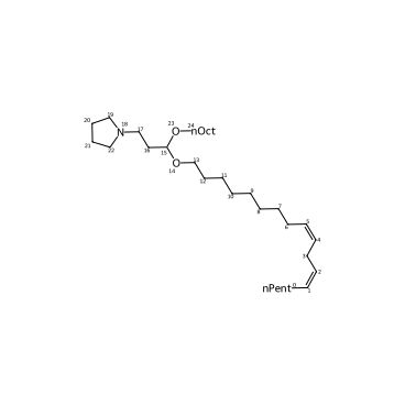 CCCCC/C=C\C/C=C\CCCCCCCCOC(CCN1CCCC1)OCCCCCCCC